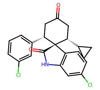 O=C1C[C@H](C2CC2)[C@@]2(C(=O)Nc3cc(Cl)ccc32)[C@H](c2cccc(Cl)c2)C1